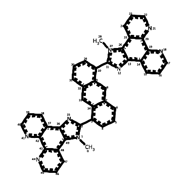 Cn1c(-c2cccc3cc4c(-c5nc6c7cccnc7c7ncccc7c6n5C)cccc4cc23)nc2c3cccnc3c3ncccc3c21